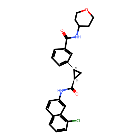 O=C(NC1CCOCC1)c1cccc([C@@H]2C[C@H]2C(=O)Nc2ccc3cccc(Cl)c3c2)c1